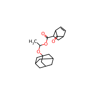 CC(OC(=O)C1CC2C=CC1C2=O)OC12CC3CC(CC(C3)C1)C2